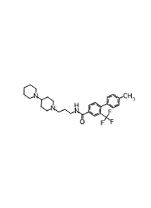 Cc1ccc(-c2ccc(C(=O)NCCCN3CCC(N4CCCCC4)CC3)cc2C(F)(F)F)cc1